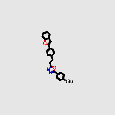 CC(C)(C)c1ccc(-c2nnc(CCc3ccc(-c4cc5ccccc5o4)cc3)o2)cc1